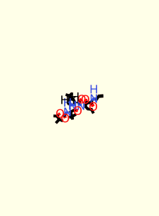 C=CCNC(=O)C(=O)C(CCC)NC(=O)[C@@H]1[C@@H]2[C@H](CN1C(=O)[C@@H](NC(=O)OC(C)C(C)C)C(C)(C)C)C2(C)C